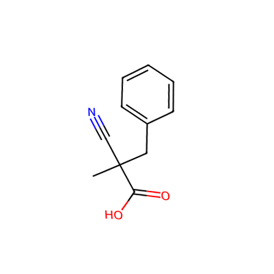 CC(C#N)(Cc1ccccc1)C(=O)O